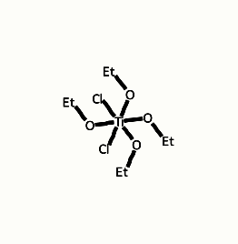 CC[O][Ti]([Cl])([Cl])([O]CC)([O]CC)[O]CC